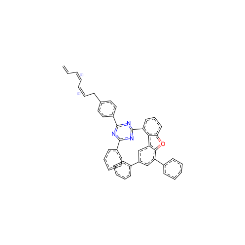 C=C/C=C\C=C/Cc1ccc(-c2nc(-c3ccccc3)nc(-c3cccc4oc5c(-c6ccccc6)cc(-c6ccccc6)cc5c34)n2)cc1